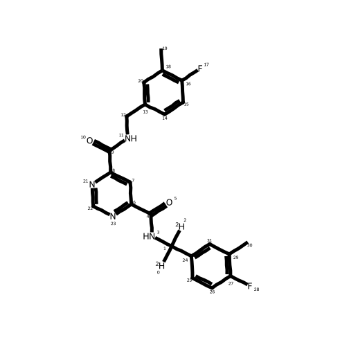 [2H]C([2H])(NC(=O)c1cc(C(=O)NCc2ccc(F)c(C)c2)ncn1)c1ccc(F)c(C)c1